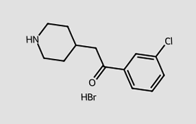 Br.O=C(CC1CCNCC1)c1cccc(Cl)c1